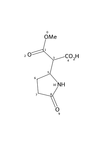 COC(=O)C(C(=O)O)C1CCC(=O)N1